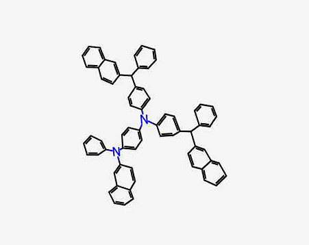 c1ccc(C(c2ccc(N(c3ccc(C(c4ccccc4)c4ccc5ccccc5c4)cc3)c3ccc(N(c4ccccc4)c4ccc5ccccc5c4)cc3)cc2)c2ccc3ccccc3c2)cc1